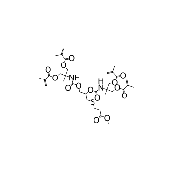 C=C(C)C(=O)OCC(C)(COC(=O)C(=C)C)NC(=O)OCC(CSCCC(=O)OC)OC(=O)NC(C)(COC(=O)C(=C)C)COC(=O)C(=C)C